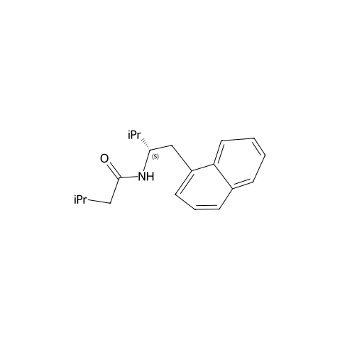 CC(C)CC(=O)N[C@@H](Cc1cccc2ccccc12)C(C)C